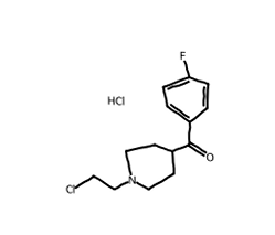 Cl.O=C(c1ccc(F)cc1)C1CCN(CCCl)CC1